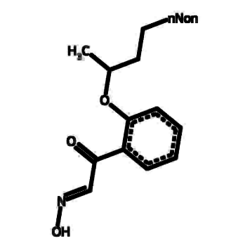 CCCCCCCCCCCC(C)Oc1ccccc1C(=O)C=NO